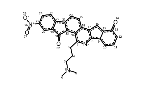 CN(C)CCCc1nc2c3cccc(=O)c-3cc2c2ccc3c4ccc([N+](=O)[O-])cc4c(=O)c3c12